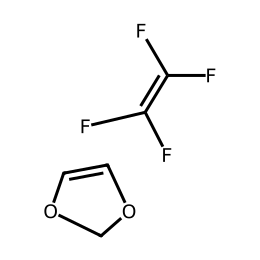 C1=COCO1.FC(F)=C(F)F